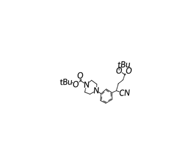 CC(C)(C)OC(=O)CCC(C#N)c1cccc(N2CCN(C(=O)OC(C)(C)C)CC2)c1